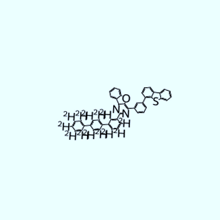 [2H]c1c([2H])c([2H])c(-c2c([2H])c([2H])c(-c3c([2H])c([2H])c([2H])c(-c4nc(-c5cccc(-c6cccc7c6sc6ccccc67)c5)c5oc6ccccc6c5n4)c3[2H])c([2H])c2[2H])c([2H])c1[2H]